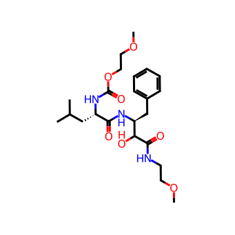 COCCNC(=O)C(O)[C@H](Cc1ccccc1)NC(=O)[C@H](CC(C)C)NC(=O)OCCOC